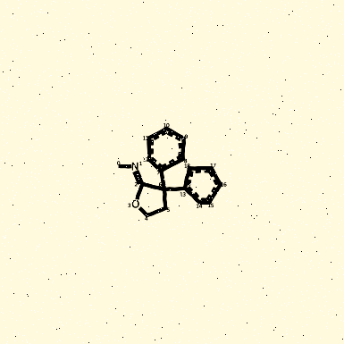 C/N=C1\OCCC1(c1ccccc1)c1ccccc1